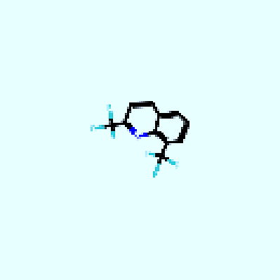 FC(F)(F)c1c[c]c2cccc(C(F)(F)F)c2n1